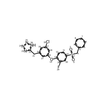 O=S(=O)(Cc1ccccc1)c1ccc(Oc2cc(Cl)cc(Cc3nnn[nH]3)c2)c(F)c1